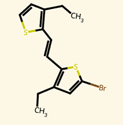 CCc1ccsc1/C=C/c1sc(Br)cc1CC